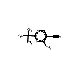 CC(C)(C)c1ncc(C#N)c(N)n1